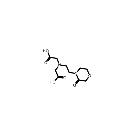 O=C(O)CN(CCN1CCOCC1=O)CC(=O)O